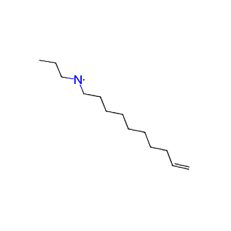 C=CCCCCCCCC[N]CCC